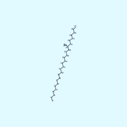 CCCCCCCCCCCCCCCCCC[CH]C(F)CCCCCCC